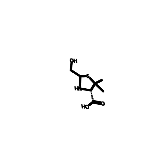 CC1(C)SC(CO)N[C@H]1C(=O)O